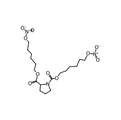 O=C(OCCCCCCO[N+](=O)[O-])C1CCCN1C(=O)OCCCCCCO[N+](=O)[O-]